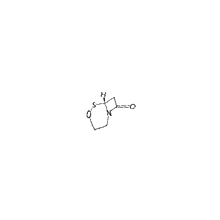 O=C1C[C@H]2SOCCN12